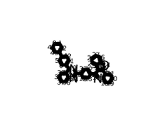 c1ccc(-c2ccc(-c3nc(-c4ccc(-c5nc6ccccc6c6oc7ccccc7c56)cc4)nc4ccccc34)cc2)cc1